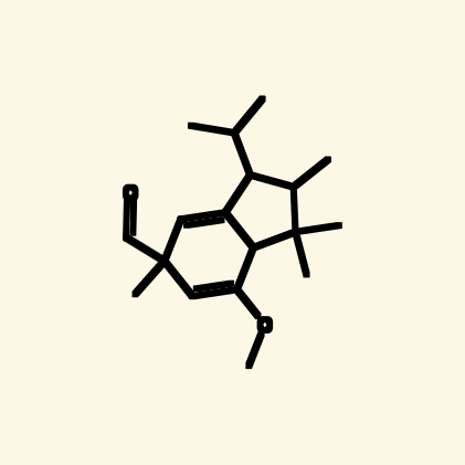 COC1=CC(C)(C=O)C=C2C(C(C)C)C(C)C(C)(C)C12